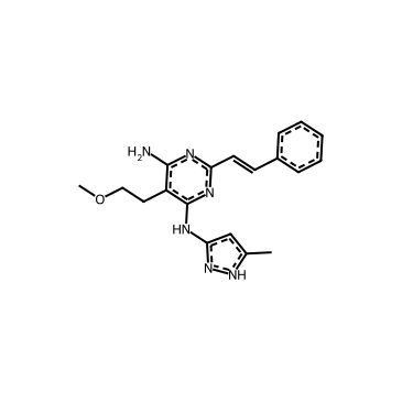 COCCc1c(N)nc(C=Cc2ccccc2)nc1Nc1cc(C)[nH]n1